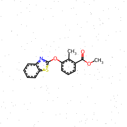 COC(=O)c1cccc(Oc2nc3ccccc3s2)c1C